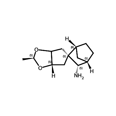 C[C@H]1OC2C[C@]3(C[C@@H]2O1)[C@@H]1CC[C@@H](C1)[C@@H]3N